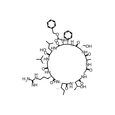 CC[C@H](C)[C@@H]1NC(=O)[C@@H](CCCNC(=N)N)NC(=O)[C@H](CC(C)C)NC(=O)[C@H]([C@H](O)C(C)C)NC(=O)[C@@H](NC(=O)OCc2ccccc2)[C@@H](c2ccccc2)NC(=O)[C@H](CO)NC(=O)C(C)NC(=O)CNC(=O)[C@H]([C@H](C)O)NC1=O